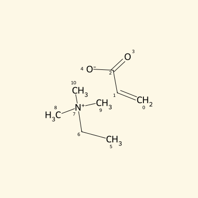 C=CC(=O)[O-].CC[N+](C)(C)C